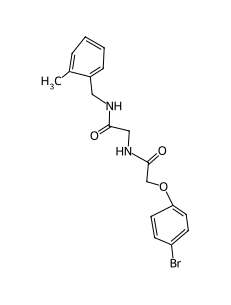 Cc1ccccc1CNC(=O)CNC(=O)COc1ccc(Br)cc1